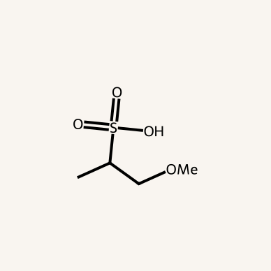 COCC(C)S(=O)(=O)O